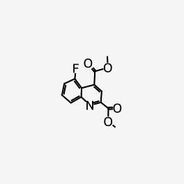 COC(=O)c1cc(C(=O)OC)c2c(F)cccc2n1